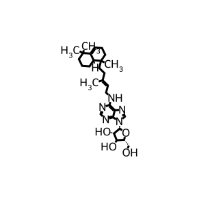 C/C(=C\CNc1ncnc2c1ncn2[C@@H]1O[C@H](CO)C(O)[C@@H]1O)CCC1(C)CCC=C2[C@H]1CCCC2(C)C